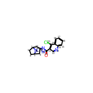 CN1C2CCC1CC(NC(=O)c1cnc3ccccc3c1Cl)C2